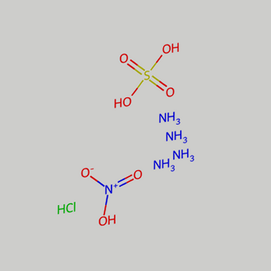 Cl.N.N.N.N.O=S(=O)(O)O.O=[N+]([O-])O